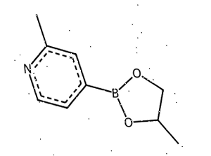 Cc1cc(B2OCC(C)O2)ccn1